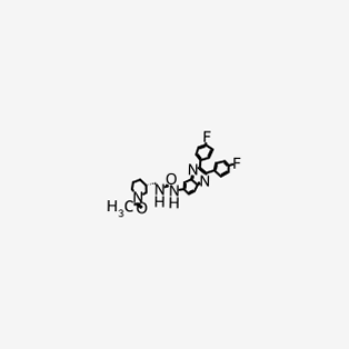 CC(=O)N1CCC[C@H](CNC(=O)Nc2ccc3nc(-c4ccc(F)cc4)c(-c4ccc(F)cc4)nc3c2)C1